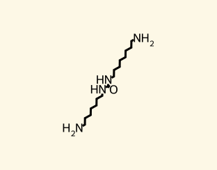 NCCCCCCCCNC(=O)NCCCCCCCN